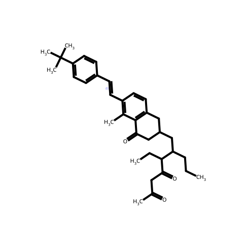 CCCC(CC1CC(=O)c2c(ccc(/C=C/c3ccc(C(C)(C)C)cc3)c2C)C1)C(CC)C(=O)CC(C)=O